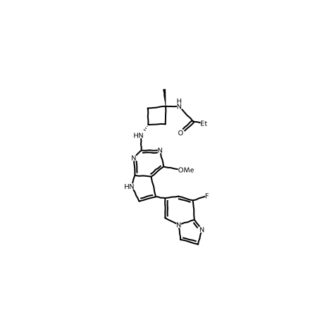 CCC(=O)N[C@]1(C)C[C@H](Nc2nc(OC)c3c(-c4cc(F)c5nccn5c4)c[nH]c3n2)C1